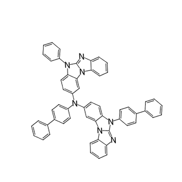 c1ccc(-c2ccc(N(c3ccc4c(c3)n3c5ccccc5nc3n4-c3ccccc3)c3ccc4c(c3)n3c5ccccc5nc3n4-c3ccc(-c4ccccc4)cc3)cc2)cc1